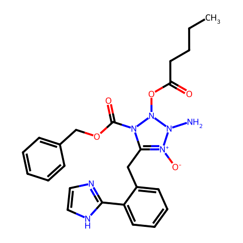 CCCCC(=O)ON1N(C(=O)OCc2ccccc2)C(Cc2ccccc2-c2ncc[nH]2)=[N+]([O-])N1N